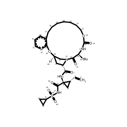 C=C[C@@H]1C[C@]1(NC(=O)[C@@H]1C[C@@H]2CN1C(=O)[C@H](C(C)(C)C)NC(=O)OCCCCCCCc1cccnc1O2)C(=O)NS(=O)(=O)C1CC1